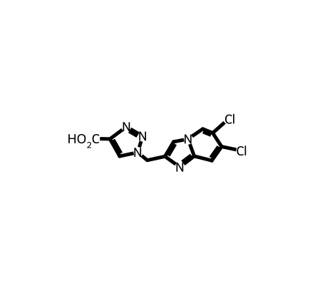 O=C(O)c1cn(Cc2cn3cc(Cl)c(Cl)cc3n2)nn1